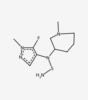 CN1CCCC(N(SN)c2cnn(C)c2F)C1